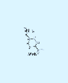 C=C(NC)C1CCC(CN(C)C)CC1